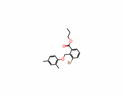 CCCOC(=O)c1cccc(Br)c1COc1ccc(C)cc1C